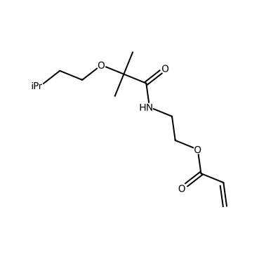 C=CC(=O)OCCNC(=O)C(C)(C)OCCC(C)C